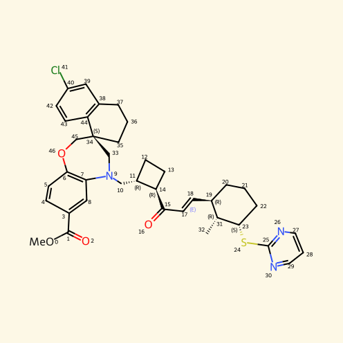 COC(=O)c1ccc2c(c1)N(C[C@@H]1CC[C@H]1C(=O)/C=C/[C@H]1CCC[C@H](Sc3ncccn3)[C@@H]1C)C[C@@]1(CCCc3cc(Cl)ccc31)CO2